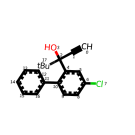 C#CC(O)(c1cc(Cl)ccc1-c1ccccc1)C(C)(C)C